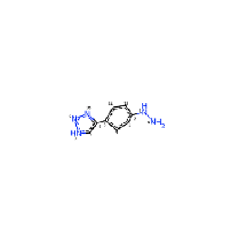 NNc1ccc(-c2c[nH]nn2)cc1